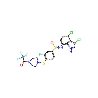 O=C(N1CCN(Sc2ccc([S+]([O-])Nc3ccc(Cl)c4c(Cl)c[nH]c34)cc2F)CC1)C(F)(F)F